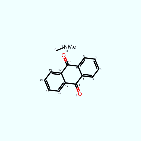 CNC.O=C1c2ccccc2C(=O)c2ccccc21